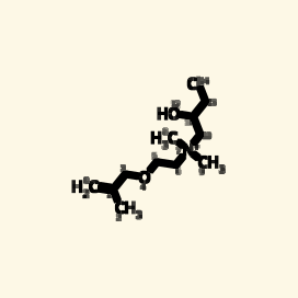 C=C(C)COCC[N+](C)(C)CC(O)CCl